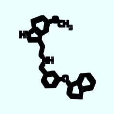 COc1ccc2[nH]cc(CCNCc3cccc(Oc4cccc5ccccc45)c3)c2c1